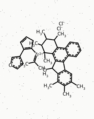 C[C](C)=[Zr+2]([C]1=C(c2ccoc2)C=CC1)[C]1(C)c2c3c(c4ccccc4c2C(C)C(C)C1C)-c1cc(C)c(C)c(C)c1C3C.[Cl-].[Cl-]